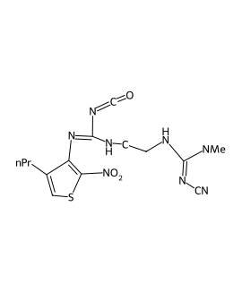 CCCc1csc([N+](=O)[O-])c1N=C(N=C=O)NCCNC(=NC#N)NC